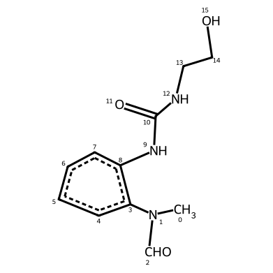 CN(C=O)c1ccccc1NC(=O)NCCO